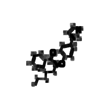 CCCCCN(Oc1ccc(-n2ccnc2)cc1)C(=O)c1ccccc1